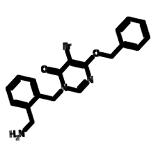 NCc1ccccc1Cn1cnc(OCc2ccccc2)c(Br)c1=O